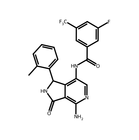 Cc1ccccc1C1NC(=O)c2c(N)ncc(NC(=O)c3cc(F)cc(C(F)(F)F)c3)c21